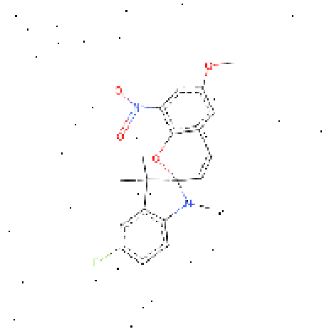 COc1cc2c(c([N+](=O)[O-])c1)OC1(C=C2)N(C)c2ccc(F)cc2C1(C)C